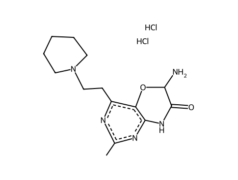 Cc1nc(CCN2CCCCC2)c2c(n1)NC(=O)C(N)O2.Cl.Cl